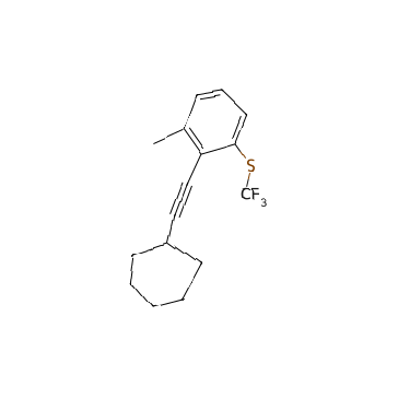 Cc1cccc(SC(F)(F)F)c1C#CC1CCCCC1